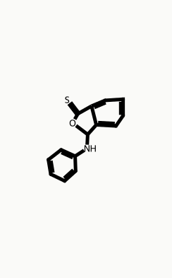 S=C1OC(Nc2ccccc2)c2ccccc21